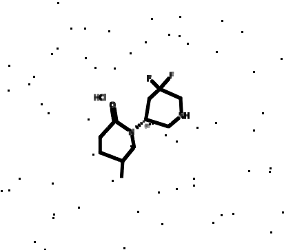 CC1CCC(=O)N([C@H]2CNCC(F)(F)C2)C1.Cl